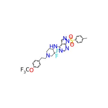 Cc1ccc(S(=O)(=O)n2ncc3c(NC4CCN(CCc5ccc(OC(F)(F)F)cc5)CC4(F)F)ncnc32)cc1